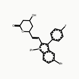 CC(C)c1ccc2c(c1)c(-c1ccc(F)cc1)c(/C=C/C1CC(O)CC(=O)O1)n2C(C)C